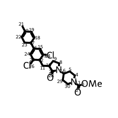 COC(=O)N1CCC(N2CCC(CC3C(Cl)=CC(C4C=CC(C)=CC4)=CC3Cl)C2=O)CC1